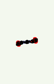 CC1(C)OB(c2ccc(/C=C/c3ccc(/C=C/c4ccc(B5OC(C)(C)C(C)(C)O5)cc4)cc3)cc2)OC1(C)C